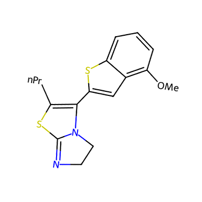 CCCC1=C(c2cc3c(OC)cccc3s2)N2CCN=C2S1